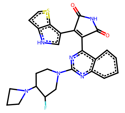 O=C1NC(=O)C(c2c[nH]c3ccsc23)=C1c1nc(N2CCC(N3CCC3)C(F)C2)nc2ccccc12